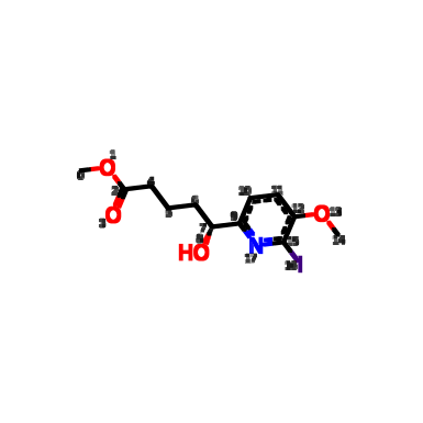 COC(=O)CCC[C@H](O)c1ccc(OC)c(I)n1